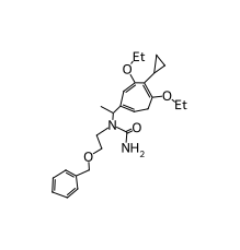 CCOC1=CC(C(C)N(CCOCc2ccccc2)C(N)=O)=CCC(OCC)=C1C1CC1